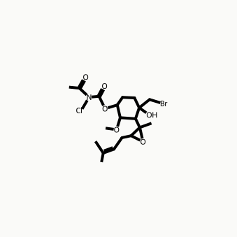 COC1C(OC(=O)N(Cl)C(C)=O)CCC(O)(CBr)C1C1(C)OC1CC=C(C)C